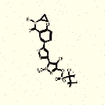 CCN(C(=O)c1cc(-c2cc(-c3c(C(F)(F)F)c(OS(=O)(=O)C(F)(C(F)(F)F)C(F)(F)I)nn3C)no2)ccc1Cl)C1CC1